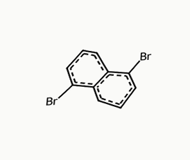 Brc1cccc2c(Br)cccc12